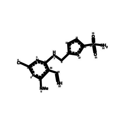 CNc1nc(Cl)nc(NCc2ccc(S(N)(=O)=O)s2)c1C=N